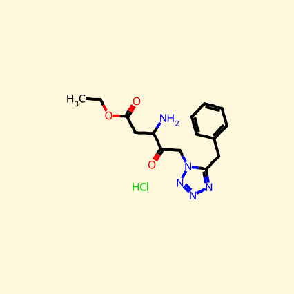 CCOC(=O)CC(N)C(=O)Cn1nnnc1Cc1ccccc1.Cl